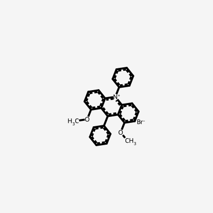 COc1cccc2c1c(-c1ccccc1)c1c(OC)cccc1[n+]2-c1ccccc1.[Br-]